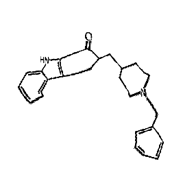 O=C1c2[nH]c3ccccc3c2CC1CC1CCN(Cc2ccccc2)CC1